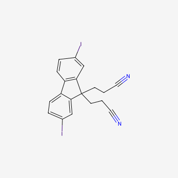 N#CCCC1(CCC#N)c2cc(I)ccc2-c2ccc(I)cc21